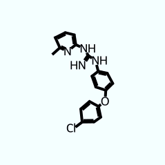 Cc1cccc(NC(=N)Nc2ccc(Oc3ccc(Cl)cc3)cc2)n1